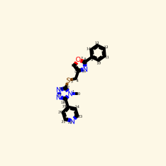 Cn1c(SCc2coc(-c3ccccc3)n2)nnc1-c1ccncc1